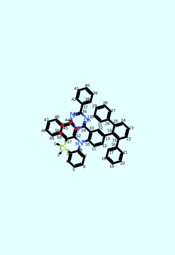 CS1(C)c2ccccc2N(c2ccc(-c3c(-c4ccccc4)cccc3-c3ccccc3)cc2-c2nc(-c3ccccc3)nc(-c3ccccc3)n2)c2ccccc21